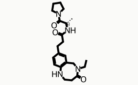 CCN1Cc2cc(CCC(=O)N[C@@H](C)C(=O)N3CCCC3)ccc2NCCC1=O